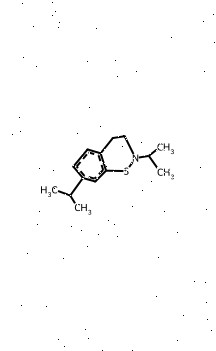 CC(C)c1ccc2c(c1)SN(C(C)C)CC2